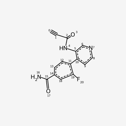 C#CC(=O)Nc1cnccc1-c1ccc(C(N)=O)cc1F